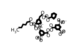 CCCCCCC(=O)OOF.O=C(Cc1ccccc1)OOC(=O)c1ccccc1.O=C(OOC(=O)c1cc([N+](=O)[O-])cc([N+](=O)[O-])c1)c1cc([N+](=O)[O-])cc([N+](=O)[O-])c1